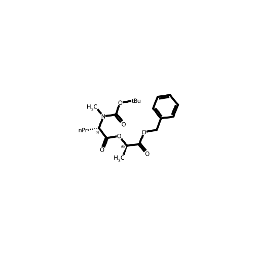 CCC[C@@H](C(=O)O[C@H](C)C(=O)OCc1ccccc1)N(C)C(=O)OC(C)(C)C